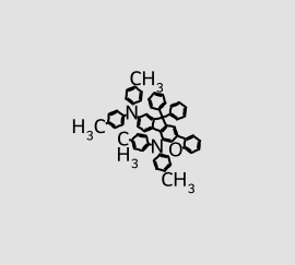 Cc1ccc(N(c2ccc(C)cc2)c2ccc3c(c2)C(c2ccccc2)(c2ccccc2)c2cc4c(oc5ccccc54)c(N(c4ccc(C)cc4)c4ccc(C)cc4)c2-3)cc1